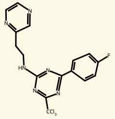 Fc1ccc(-c2nc(NCCc3cnccn3)nc(C(Cl)(Cl)Cl)n2)cc1